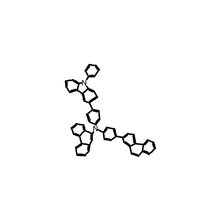 c1ccc(-n2c3ccccc3c3cc(-c4ccc(N(c5ccc(-c6ccc7c(ccc8ccccc87)c6)cc5)c5cc6ccccc6c6ccccc56)cc4)ccc32)cc1